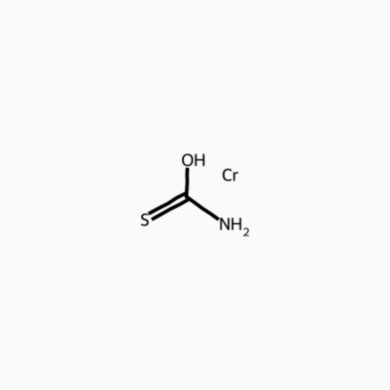 NC(O)=S.[Cr]